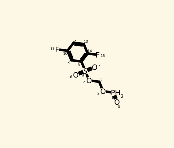 O=[PH2]OCOS(=O)(=O)c1cc(F)ccc1F